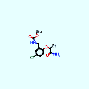 CCC(Oc1ccc(Cl)cc1CNC(=O)OC(C)(C)C)C(N)=O